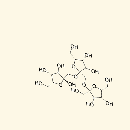 OC[C@H]1O[C@](CO)(OC[C@]2(OC[C@]3(O)O[C@H](CO)[C@H](O)C3O)O[C@H](CO)[C@H](O)C2O)C(O)[C@H]1O